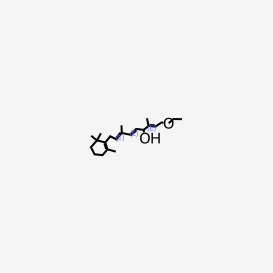 CCOC/C=C(\C)C(O)/C=C/C(C)=C/CC1=C(C)CCCC1(C)C